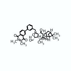 C[C@@H]1[C@@H](NC(=O)[C@@H]2[C@H]([C@H](C)O)[C@H](CO)ON2Cc2cccc(-c3ccc4c(=O)n(C)n(C)c(=O)c4c3)c2)C[C@H]2C[C@@H]1C2(C)C